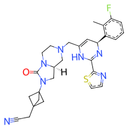 Cc1c(F)cccc1[C@@H]1C=C(CN2CCN3C(=O)N(C45CC(CC#N)(C4)C5)C[C@@H]3C2)NC(c2nccs2)=N1